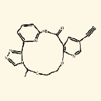 C#Cc1cnc2c(c1)C(=O)Nc1cccc(n1)-c1nncn1C(C)CCCO2